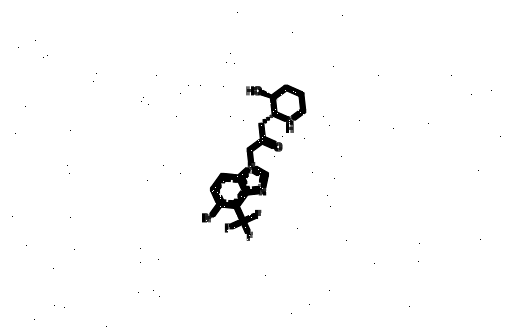 O=C(C[C@H]1NCCC[C@@H]1O)Cn1cnc2c(C(F)(F)F)c(Br)ccc21